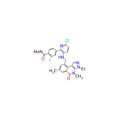 CCn1ncc2c3c(CNc4ccc(Cl)nc4-c4ccc(C(=O)NC)c(F)c4)cc(C)cc3c(=O)n(C)c21